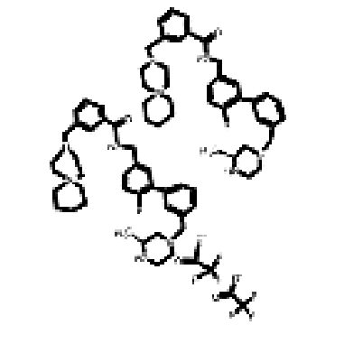 C[C@H]1CN(Cc2cccc(-c3cc(CNC(=O)c4cccc(CN5CC[N+]6(CCCCC6)CC5)c4)ccc3F)c2)CCN1.C[C@H]1CN(Cc2cccc(-c3cc(CNC(=O)c4cccc(CN5CC[N+]6(CCCCC6)CC5)c4)ccc3F)c2)CCN1.O=C([O-])C(F)(F)F.O=C([O-])C(F)(F)F